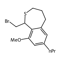 CCCc1cc2c(c(OC)c1)C(CBr)SCCC2